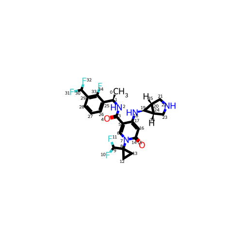 C[C@@H](NC(=O)c1cn(C2(C(F)F)CC2)c(=O)cc1N[C@H]1[C@@H]2CNC[C@@H]21)c1cccc(C(F)F)c1F